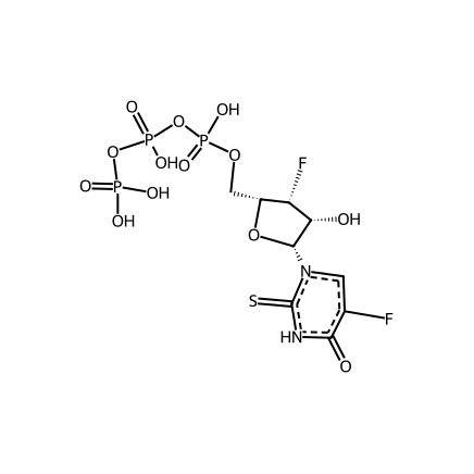 O=c1[nH]c(=S)n([C@@H]2O[C@H](COP(=O)(O)OP(=O)(O)OP(=O)(O)O)[C@H](F)[C@@H]2O)cc1F